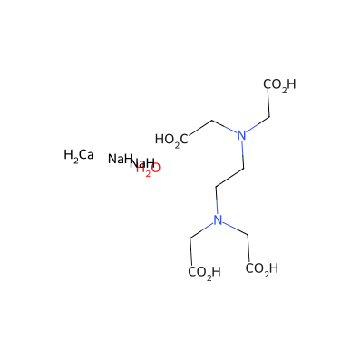 O.O=C(O)CN(CCN(CC(=O)O)CC(=O)O)CC(=O)O.[CaH2].[NaH].[NaH]